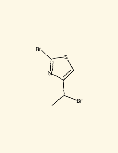 CC(Br)c1csc(Br)n1